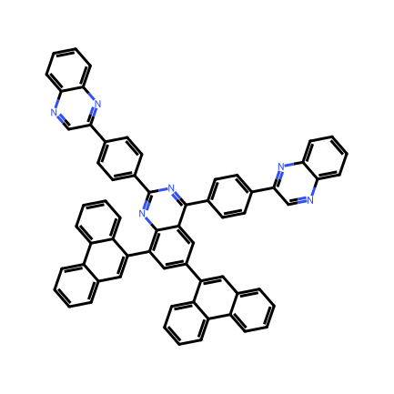 c1ccc2c(c1)cc(-c1cc(-c3cc4ccccc4c4ccccc34)c3nc(-c4ccc(-c5cnc6ccccc6n5)cc4)nc(-c4ccc(-c5cnc6ccccc6n5)cc4)c3c1)c1ccccc12